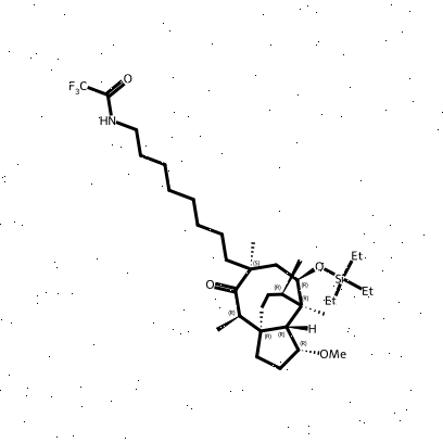 CC[Si](CC)(CC)O[C@@H]1C[C@](C)(CCCCCCCCNC(=O)C(F)(F)F)C(=O)[C@H](C)[C@@]23CC[C@@H](C)[C@]1(C)[C@@H]2[C@H](OC)CC3